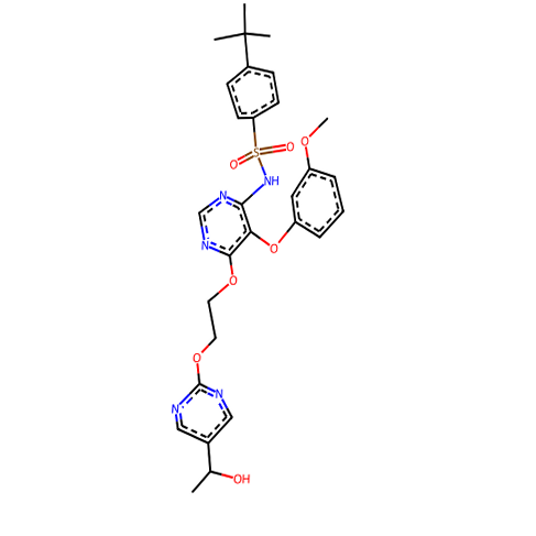 COc1cccc(Oc2c(NS(=O)(=O)c3ccc(C(C)(C)C)cc3)ncnc2OCCOc2ncc(C(C)O)cn2)c1